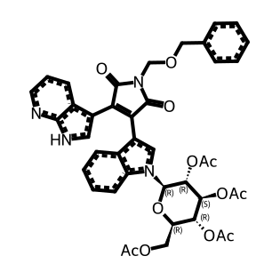 CC(=O)OC[C@H]1O[C@@H](n2cc(C3=C(c4c[nH]c5ncccc45)C(=O)N(COCc4ccccc4)C3=O)c3ccccc32)[C@H](OC(C)=O)[C@@H](OC(C)=O)[C@@H]1OC(C)=O